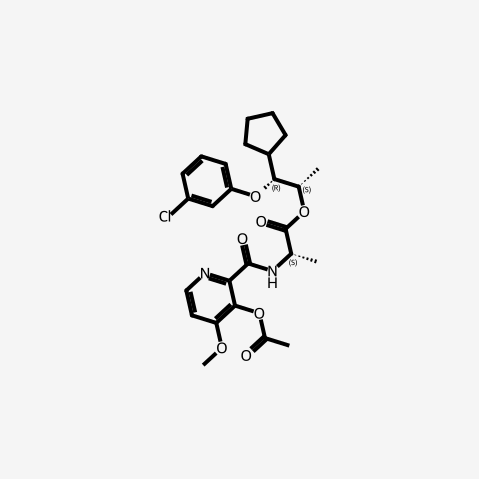 COc1ccnc(C(=O)N[C@@H](C)C(=O)O[C@@H](C)[C@H](Oc2cccc(Cl)c2)C2CCCC2)c1OC(C)=O